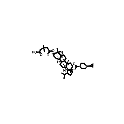 CC(C)C1CC[C@]2(CC(=O)N3CCN(C4CC4)CC3)CC[C@]3(C)[C@H](CC[C@@H]4[C@@]5(C)CC[C@H](OC(=O)CC(C)(C)CC(=O)O)C(C)(C)[C@@H]5CC[C@]43C)[C@@H]12